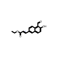 CCOC(=O)/C=C/c1ccc2c(C=O)c(O)ccc2c1